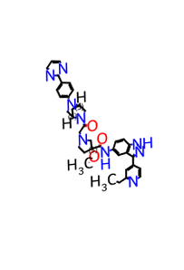 CCc1cc(-c2n[nH]c3ccc(NC(=O)[C@]4(OC)CCN(CC(=O)N5C[C@@H]6C[C@H]5CN6c5ccc(-c6ncccn6)cc5)C4)cc23)ccn1